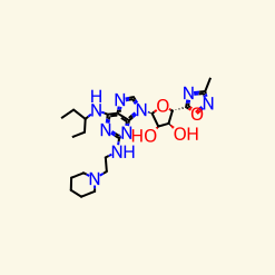 CCC(CC)Nc1nc(NCCN2CCCCC2)nc2c1ncn2[C@@H]1O[C@H](c2nc(C)no2)[C@@H](O)[C@H]1O